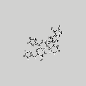 Cc1noc(NS(=O)(=O)c2ccccc2-c2ccc(-c3ncco3)cc2CN(C)C(=O)Cc2cccs2)c1C